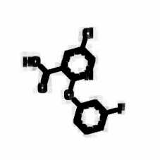 O=C(O)c1cc(Cl)cnc1Oc1cccc(F)c1